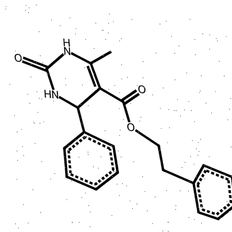 CC1=C(C(=O)OCCc2ccccc2)C(c2ccccc2)NC(=O)N1